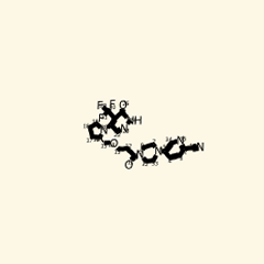 N#Cc1ccc(N2CCN(C(=O)CCOC[C@@H]3CCCN3c3cn[nH]c(=O)c3C(F)(F)F)CC2)cn1